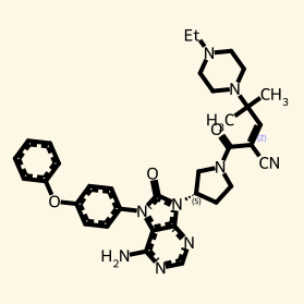 CCN1CCN(C(C)(C)/C=C(/C#N)C(=O)N2CC[C@H](n3c(=O)n(-c4ccc(Oc5ccccc5)cc4)c4c(N)ncnc43)C2)CC1